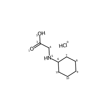 Cl.O=C(O)CNC1CCCCC1